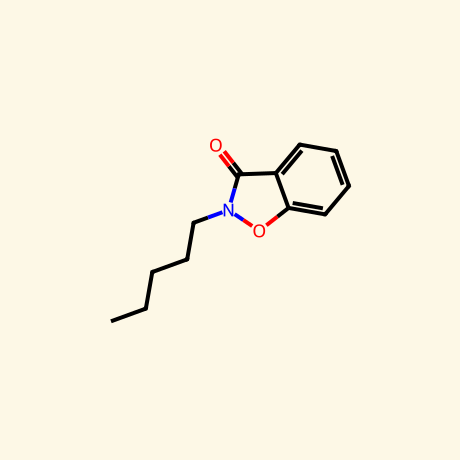 CCCCCn1oc2ccccc2c1=O